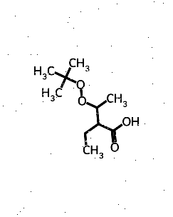 CCC(C(=O)O)C(C)OOC(C)(C)C